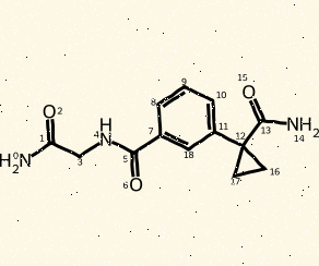 NC(=O)CNC(=O)c1cccc(C2(C(N)=O)CC2)c1